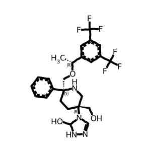 C[C@@H](OC[C@@]1(c2ccccc2)CC[C@@](CO)(N2C=NNC2O)CN1)c1cc(C(F)(F)F)cc(C(F)(F)F)c1